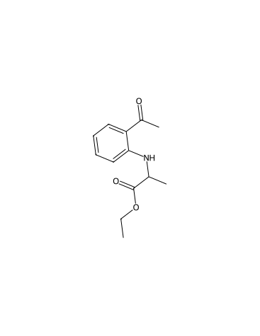 CCOC(=O)C(C)Nc1ccccc1C(C)=O